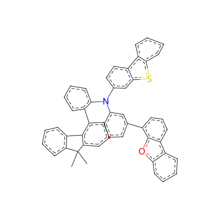 CC1(C)c2ccccc2-c2c(-c3ccccc3N(c3cccc(-c4cccc5c4oc4ccccc45)c3)c3ccc4c(c3)sc3ccccc34)cccc21